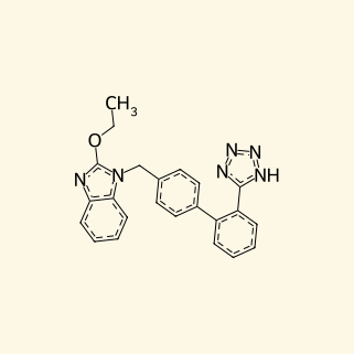 CCOc1nc2ccccc2n1Cc1ccc(-c2ccccc2-c2nnn[nH]2)cc1